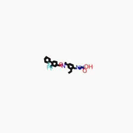 CCc1cc(C(C)=NOCc2ccc(-c3ccccc3)c(C(F)(F)F)c2)ccc1CNCCC(=O)O